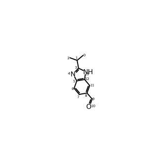 CC(C)c1nc2ccc(C=O)cc2[nH]1